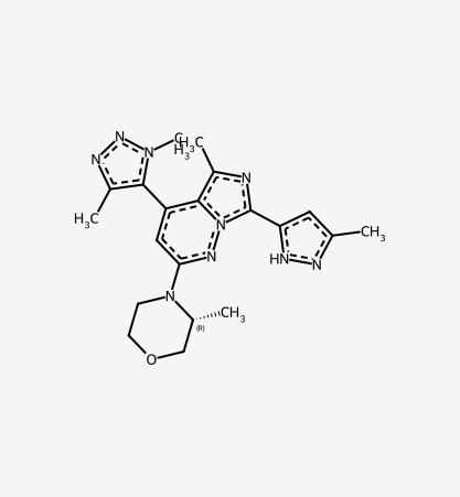 Cc1cc(-c2nc(C)c3c(-c4c(C)nnn4C)cc(N4CCOC[C@H]4C)nn23)[nH]n1